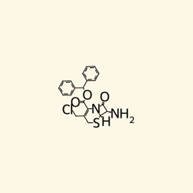 N[C@@H]1C(=O)N2C(C(=O)OC(c3ccccc3)c3ccccc3)=C(CCl)CS[C@@H]12